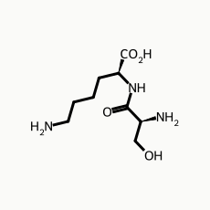 NCCCC[C@H](NC(=O)[C@@H](N)CO)C(=O)O